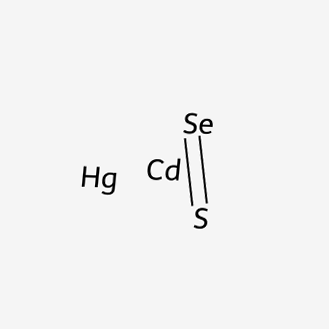 S=[Se].[Cd].[Hg]